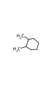 C[C]1CC[CH]CC1C